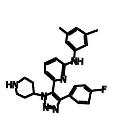 Cc1cc(C)cc(Nc2cccc(-c3c(-c4ccc(F)cc4)nnn3C3CCNCC3)n2)c1